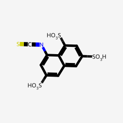 O=S(=O)(O)c1cc(N=C=S)c2c(S(=O)(=O)O)cc(S(=O)(=O)O)cc2c1